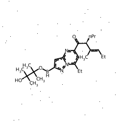 CC/C=C(\C)[C@H](CCC)C(=O)c1cc(CC)n2nc(BOC(C)(C)C(C)(C)O)cc2n1